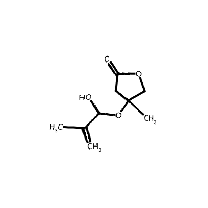 C=C(C)C(O)OC1(C)COC(=O)C1